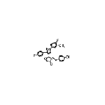 Cc1cc(-n2cc([C@H]3OCC(=O)N3CCc3ccc(O)cc3)c(-c3ccc(F)cc3)n2)ccc1F